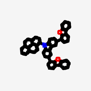 c1cc2ccc3ccc(-n4c5ccc(-c6cccc7c6oc6ccccc67)cc5c5cc(-c6cccc7c6oc6ccccc67)ccc54)c4ccc(c1)c2c34